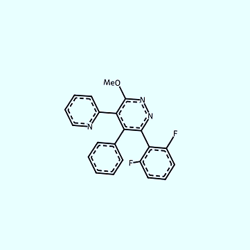 COc1nnc(-c2c(F)cccc2F)c(-c2ccccc2)c1-c1ccccn1